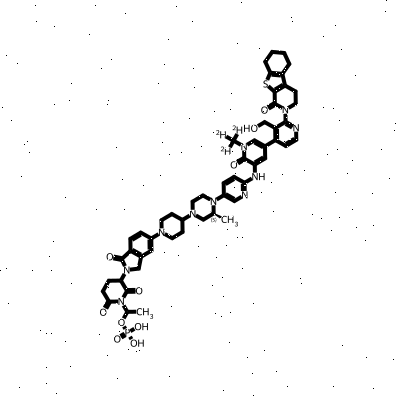 [2H]C([2H])([2H])n1cc(-c2ccnc(N3CCc4c(sc5c4CCCC5)C3=O)c2CO)cc(Nc2ccc(N3CCN(C4CCN(c5ccc6c(c5)CN(C5CCC(=O)N(C(C)OP(=O)(O)O)C5=O)C6=O)CC4)C[C@@H]3C)cn2)c1=O